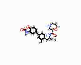 Cc1cc(-c2ccc3oc(=O)n(C)c3c2)ccc1CC(C#N)NC(=O)[C@H]1CNCCCO1